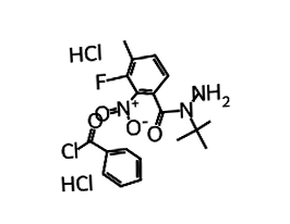 Cc1ccc(C(=O)N(N)C(C)(C)C)c([N+](=O)[O-])c1F.Cl.Cl.O=C(Cl)c1ccccc1